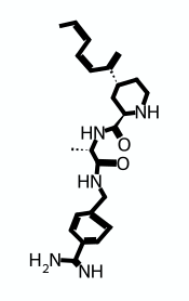 C=C(/C=C\C=C/C)[C@@H]1CCN[C@@H](C(=O)N[C@@H](C)C(=O)NCc2ccc(C(=N)N)cc2)C1